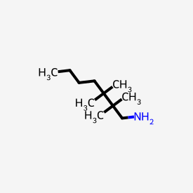 CCCCC(C)(C)C(C)(C)CN